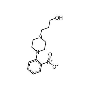 O=[N+]([O-])c1ccccc1N1CCN(CCCO)CC1